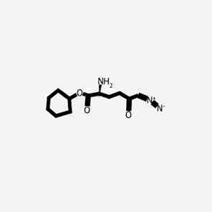 [N-]=[N+]=CC(=O)CC[C@H](N)C(=O)OC1CCCCC1